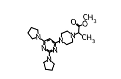 COC(=O)C(C)N1CCN(c2cc(N3CCCC3)nc(N3CCCC3)n2)CC1